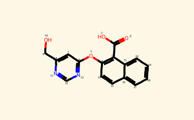 O=C(O)c1c(Oc2cc(CO)ncn2)ccc2ccccc12